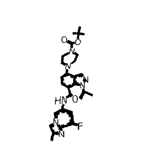 C=C(C)n1ncc2c(N3CCN(C(=O)OC(C)(C)C)CC3)ccc(C(=O)Nc3cc(F)c4nc(C)cn4c3)c21